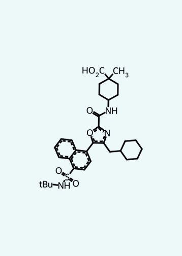 CC(C)(C)NS(=O)(=O)c1ccc(-c2oc(C(=O)NC3CCC(C)(C(=O)O)CC3)nc2CC2CCCCC2)c2ccccc12